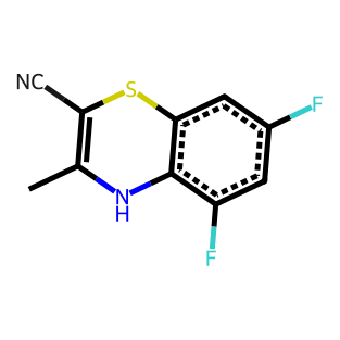 CC1=C(C#N)Sc2cc(F)cc(F)c2N1